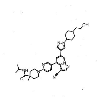 CC(C)NC(=O)C1(C)CCN(c2ccc(-c3cc(-c4cnn(C5CCC(CCO)CC5)c4)cn4ncc(C#N)c34)cn2)CC1